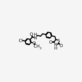 COc1ccc(Cl)cc1C(=O)NCCCc1ccc(CC2SC(=O)NC2=O)cc1